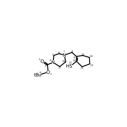 CC(C)(C)OC(=O)N1CCN(CC2=C(S)CCCC2)CC1